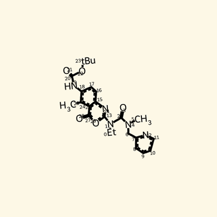 CCN(C(=O)N(C)Cc1ccccn1)c1nc2ccc(NC(=O)OC(C)(C)C)c(C)c2c(=O)o1